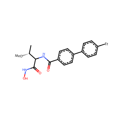 CCc1ccc(-c2ccc(C(=O)NC(C(=O)NO)[C@@H](C)OC)cc2)cc1